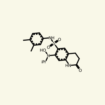 Cc1ccc(NS(=O)(=O)c2cc3c(cc2N(O)C(C)C)NC(=O)CC3)cc1C